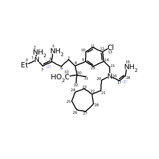 CCN(N)/C=C(\N)CCC(c1ccc(Cl)c(CN(/C=C\N)CCC2CCCCCC2)c1)C(C)(C)C(=O)O